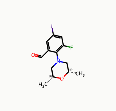 C[C@@H]1CN(c2c(F)cc(I)cc2C=O)C[C@H](C)O1